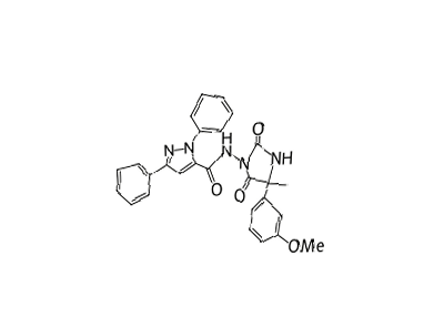 COc1cccc(C2(C)NC(=O)N(NC(=O)c3cc(-c4ccccc4)nn3-c3ccccc3)C2=O)c1